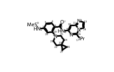 CSNc1ccc(C(=O)Nc2cc3nccn3c(C(C)C)n2)c(N2CCC3(CC2)CC3)c1